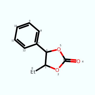 CCC1OC(=O)OC1c1ccccc1